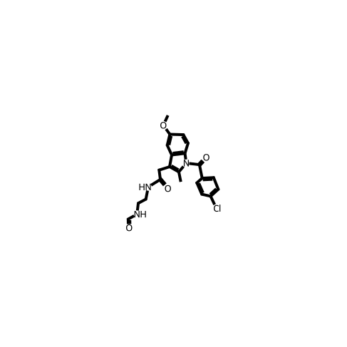 COc1ccc2c(c1)c(CC(=O)NCCNC=O)c(C)n2C(=O)c1ccc(Cl)cc1